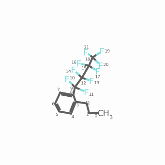 CC[CH]c1ccccc1C(F)(F)C(F)(F)C(F)(F)C(F)(F)F